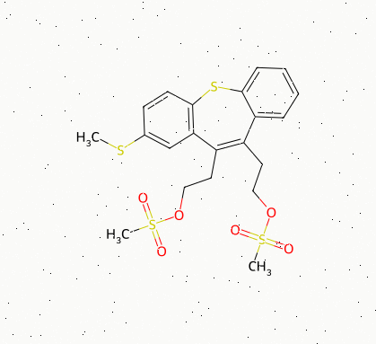 CSc1ccc2c(c1)C(CCOS(C)(=O)=O)=C(CCOS(C)(=O)=O)c1ccccc1S2